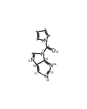 O=C(n1cccc1)n1cnc2cncnc21